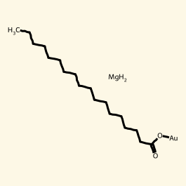 CCCCCCCCCCCCCCCCCC(=O)[O][Au].[MgH2]